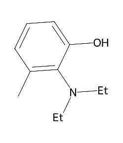 CCN(CC)c1c(C)cccc1O